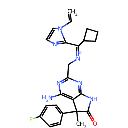 C=Cn1ccnc1/C(=N\Cc1nc(N)c2c(n1)NC(=O)C2(C)c1ccc(F)cc1)C1CCC1